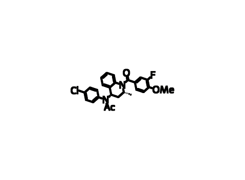 COc1ccc(C(=O)N2c3ccccc3[C@H](N(C(C)=O)c3ccc(Cl)cc3)C[C@H]2C)cc1F